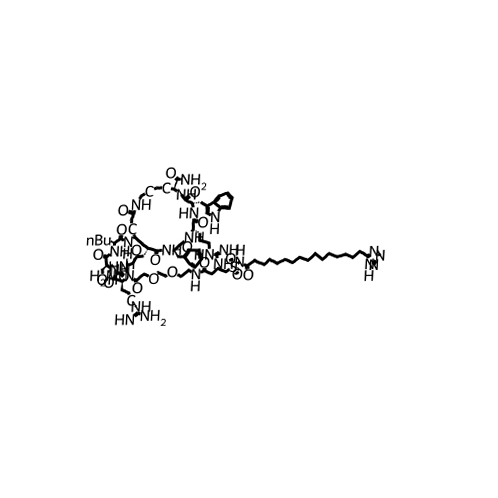 CCCC[C@H](NC(=O)[C@H](CO)NC(=O)[C@H](CCCNC(=N)N)NC(=O)COCCOCCNC(=O)CCCS(=O)(=O)NC(=O)CCCCCCCCCCCCCCCc1nnn[nH]1)C(=O)N[C@H]1CCC(=O)NCCCC[C@@H](C(N)=O)NC(=O)[C@H](Cc2c[nH]c3ccccc23)NC(=O)[C@H](CCCNC(=N)N)NC(=O)[C@@H](Cc2ccccc2)NC(=O)[C@H](CCCNC(N)=O)C1=O